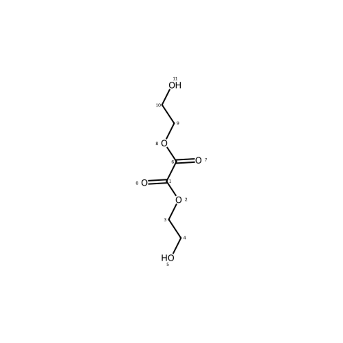 O=C(OCCO)C(=O)OCCO